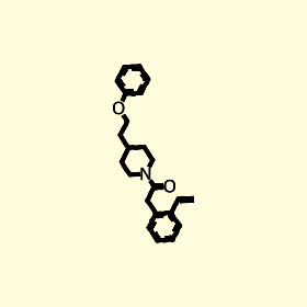 C=Cc1ccccc1CC(=O)N1CCC(CCOc2ccccc2)CC1